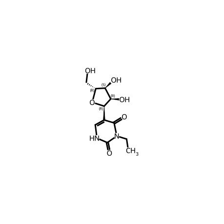 CCn1c(=O)[nH]cc([C@H]2O[C@H](CO)[C@@H](O)[C@H]2O)c1=O